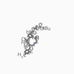 Cc1cc(F)c(C(=O)NC2C/C=C/CCC(=O)Nc3cc(NC(=O)OC4CN(C(=O)OC(C)(C)C)C4)ccc3-c3nc2[nH]c3Cl)c(F)c1